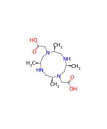 C[C@H]1CN(CC(=O)O)[C@@H](C)CN[C@@H](C)CN(CC(=O)O)[C@@H](C)CN1